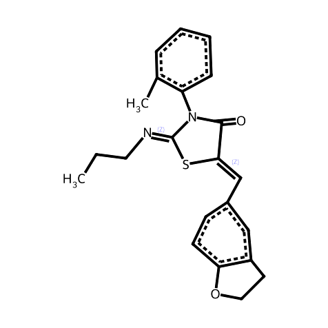 CCC/N=C1\S/C(=C\c2ccc3c(c2)CCO3)C(=O)N1c1ccccc1C